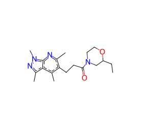 CCC1CN(C(=O)CCc2c(C)nc3c(c(C)nn3C)c2C)CCO1